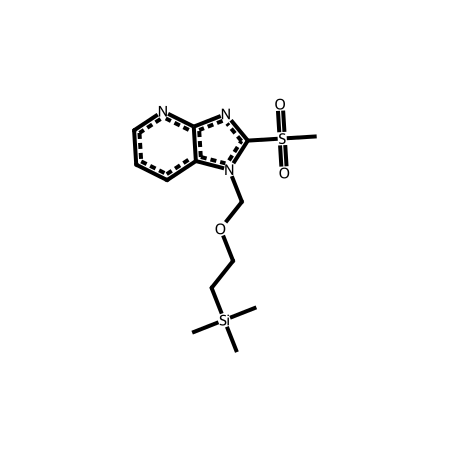 C[Si](C)(C)CCOCn1c(S(C)(=O)=O)nc2ncccc21